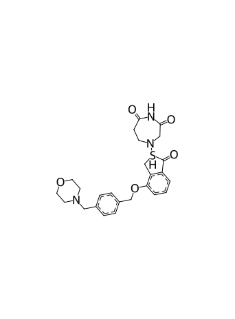 O=C1CCN([SH]2Cc3c(OCc4ccc(CN5CCOCC5)cc4)cccc3C2=O)CC(=O)N1